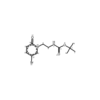 CC(C)(C)OC(=O)NCCn1cc(Br)ccc1=O